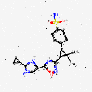 CC1(C)C(c2ccc(S(N)(=O)=O)cc2)C1c1noc(-c2c[nH]c(C3CC3)n2)n1